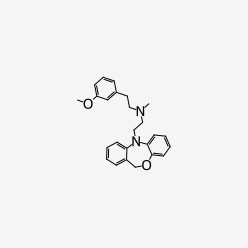 COc1cccc(CCN(C)CCN2c3ccccc3COc3ccccc32)c1